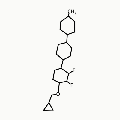 CC1CCC(C2CCC(C3CCC(OCC4CC4)C(F)C3F)CC2)CC1